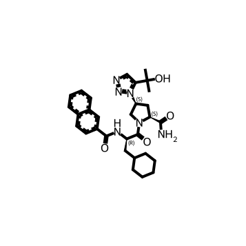 CC(C)(O)c1cnnn1[C@H]1C[C@@H](C(N)=O)N(C(=O)[C@@H](CC2CCCCC2)NC(=O)c2ccc3ccccc3c2)C1